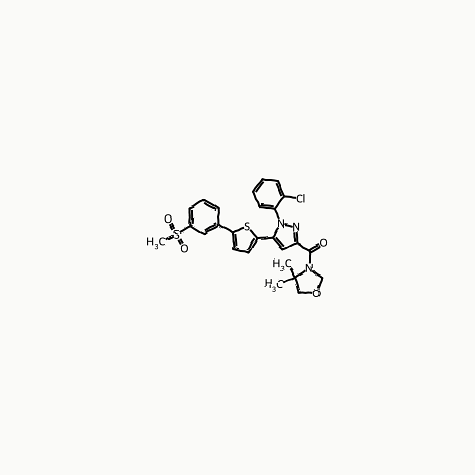 CC1(C)COCN1C(=O)c1cc(-c2ccc(-c3cccc(S(C)(=O)=O)c3)s2)n(-c2ccccc2Cl)n1